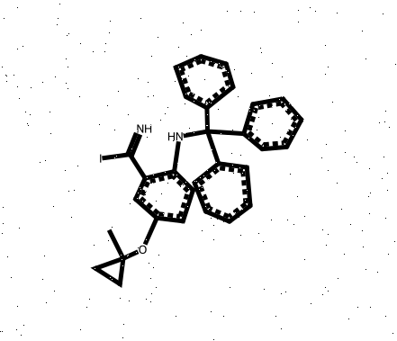 CC1(Oc2ccc(NC(c3ccccc3)(c3ccccc3)c3ccccc3)c(C(=N)I)c2)CC1